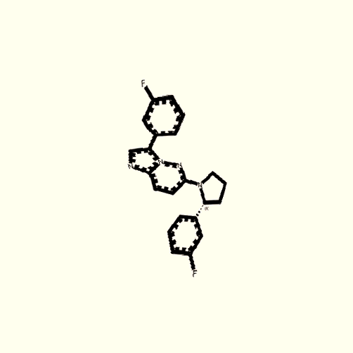 Fc1cccc(-c2cnc3ccc(N4CCC[C@@H]4c4cccc(F)c4)nn23)c1